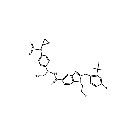 O=C(NC(CO)c1ccc(N(C2CC2)[SH](=O)=O)cc1)c1ccc2c(c1)cc(Cc1ccc(Cl)cc1C(F)(F)F)n2CCF